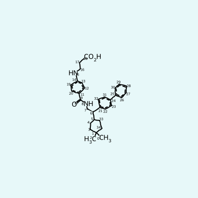 CC1(C)CCC([C@@H](CNC(=O)c2ccc(NCCC(=O)O)cc2)c2ccc(-c3ccccc3)cc2)CC1